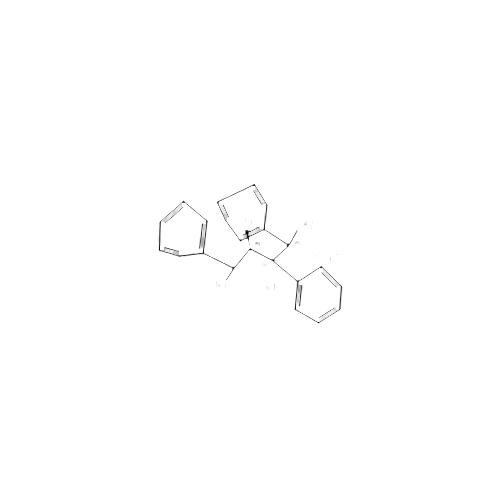 O=C[C@@](O)(c1ccccc1)[C@@](O)(c1ccccc1)[C@H](O)C(O)c1ccccc1